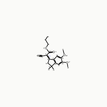 CCCOC(=O)/C(C#N)=C1/CC(C)(C)c2cc(OC)c(OC)cc21